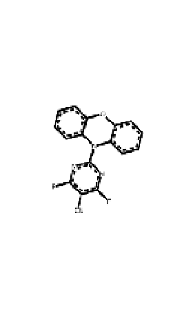 N#Cc1c(F)nc(N2c3ccccc3Oc3ccccc32)nc1F